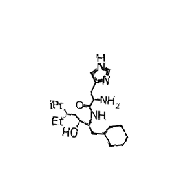 CC[C@@H](C[C@H](O)[C@H](CC1CCCCC1)NC(=O)C(N)Cc1c[nH]cn1)C(C)C